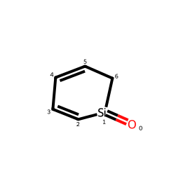 O=[Si]1C=CC=CC1